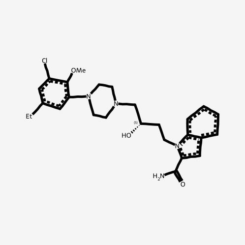 CCc1cc(Cl)c(OC)c(N2CCN(C[C@@H](O)CCn3c(C(N)=O)cc4ccccc43)CC2)c1